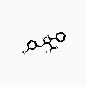 Cc1cccc(Nc2onc(-c3ccccc3)c2C(=O)O)c1